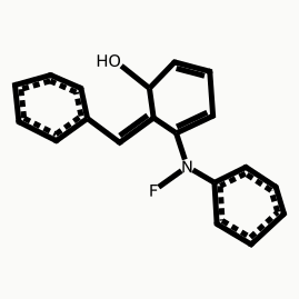 OC1C=CC=C(N(F)c2ccccc2)C1=Cc1ccccc1